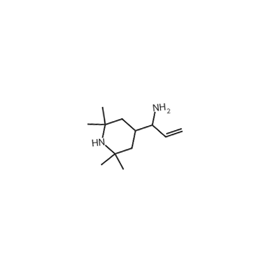 C=CC(N)C1CC(C)(C)NC(C)(C)C1